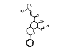 CN(C)C=NC(=O)C1OC2COC(c3ccccc3)OC2C(N=[N+]=[N-])C1O